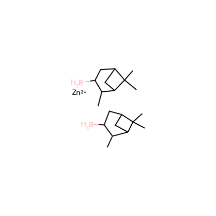 [BH3-]C1CC2CC(C1C)C2(C)C.[BH3-]C1CC2CC(C1C)C2(C)C.[Zn+2]